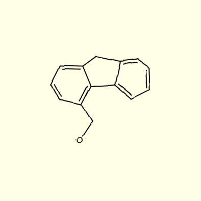 [O]Cc1cccc2c1-c1ccccc1C2